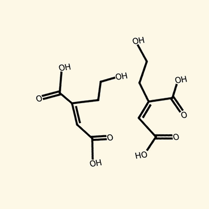 O=C(O)/C=C(/CCO)C(=O)O.O=C(O)/C=C(\CCO)C(=O)O